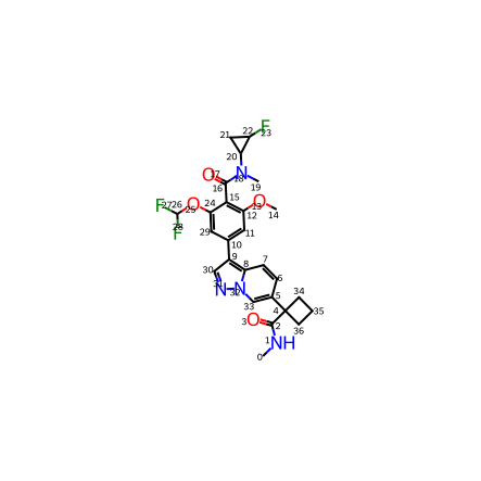 CNC(=O)C1(c2ccc3c(-c4cc(OC)c(C(=O)N(C)C5CC5F)c(OC(F)F)c4)cnn3c2)CCC1